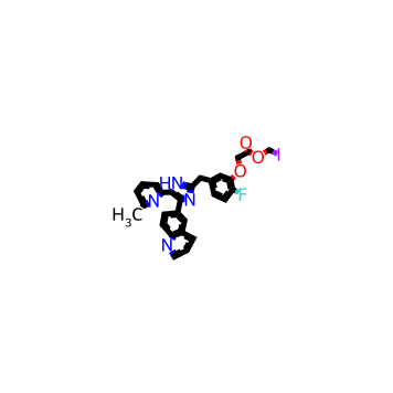 Cc1cccc(-c2[nH]c(Cc3ccc(F)c(OCC(=O)OCI)c3)nc2-c2ccc3ncccc3c2)n1